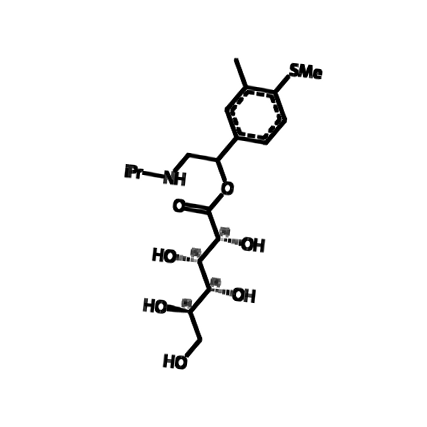 CSc1ccc(C(CNC(C)C)OC(=O)[C@H](O)[C@@H](O)[C@H](O)[C@H](O)CO)cc1C